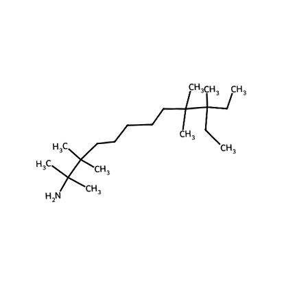 CCC(C)(CC)C(C)(C)CCCCCC(C)(C)C(C)(C)N